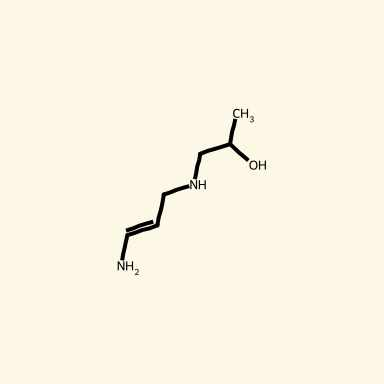 CC(O)CNCC=CN